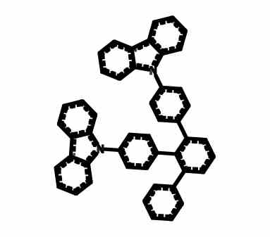 c1ccc(-c2cccc(-c3ccc(-n4c5ccccc5c5ccccc54)cc3)c2-c2ccc(-n3c4ccccc4c4ccccc43)cc2)cc1